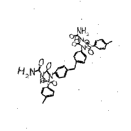 Cc1ccc(S(=O)(=O)N(C(=O)NC(N)=O)c2ccc(Cc3ccc(N(C(=O)NC(N)=O)S(=O)(=O)c4ccc(C)cc4)cc3)cc2)cc1